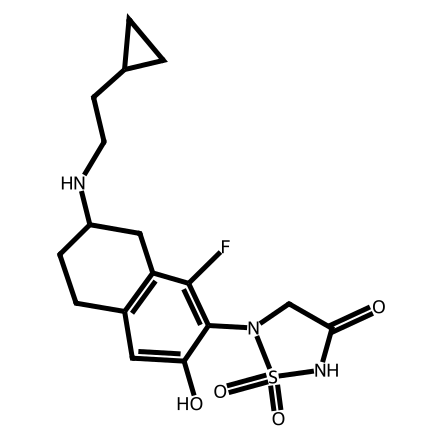 O=C1CN(c2c(O)cc3c(c2F)CC(NCCC2CC2)CC3)S(=O)(=O)N1